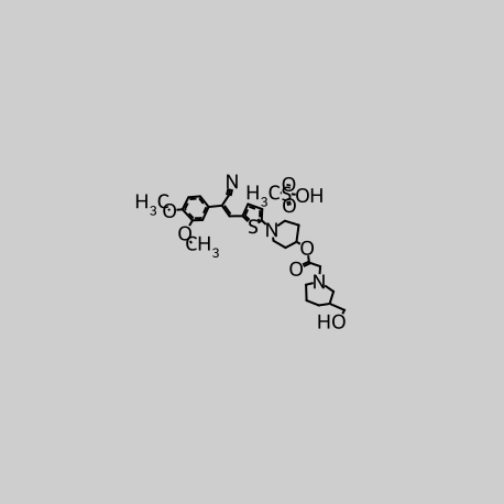 COc1ccc(C(C#N)=Cc2ccc(N3CCC(OC(=O)CN4CCCC(CO)C4)CC3)s2)cc1OC.CS(=O)(=O)O